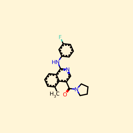 Cc1cccc2c(Nc3cccc(F)c3)ncc(C(=O)N3CCCC3)c12